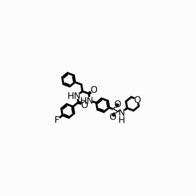 O=C(NC(Cc1ccccc1)C(=O)Nc1ccc(S(=O)(=O)NC2CCOCC2)cc1)c1ccc(F)cc1